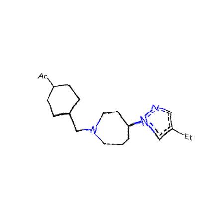 CCc1cnn(C2CCN(CC3CCC(C(C)=O)CC3)CC2)c1